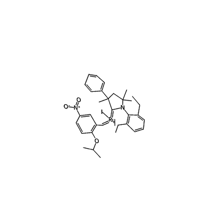 CCc1cccc(CC)c1N1[C](=[Ru]([I])([I])=[CH]c2cc([N+](=O)[O-])ccc2OC(C)C)C(C)(c2ccccc2)CC1(C)C